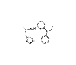 CC(C#N)Cn1ccnc1.CCB(c1ccccc1)c1ccccc1